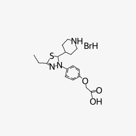 Br.CCC1=NN(c2ccc(OCC(=O)O)cc2)C(C2CCNCC2)S1